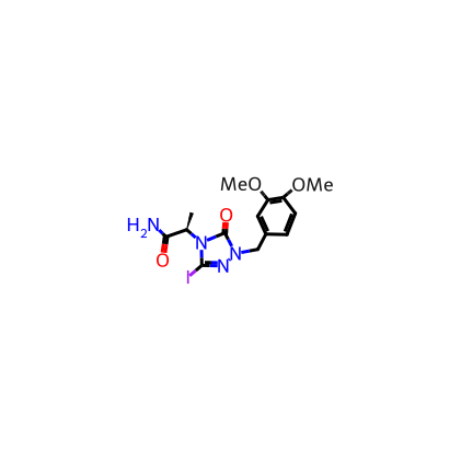 COc1ccc(Cn2nc(I)n([C@H](C)C(N)=O)c2=O)cc1OC